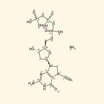 B.N#CN1CN([C@H]2C[C@H](O)[C@@H](COP(=O)(O)OP(=O)(O)OP(=O)(O)O)O2)c2nc(N)[nH]c(=O)c21